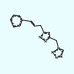 C(=Cc1ccccc1)Cn1cc(Cn2cnnn2)nn1